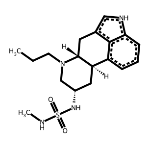 CCCN1C[C@@H](NS(=O)(=O)NC)C[C@@H]2c3cccc4[nH]cc(c34)C[C@H]21